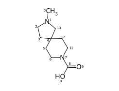 CN1CCC2(CCN(C(=O)O)CC2)C1